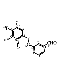 O=Cc1cccc(OCc2cc(F)c(F)c(F)c2F)c1